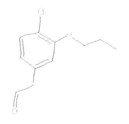 CCCOc1cc(CC=O)ccc1Cl